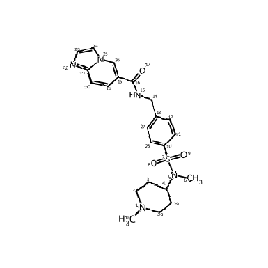 CN1CCC(N(C)S(=O)(=O)c2ccc(CNC(=O)c3ccc4nccn4c3)cc2)CC1